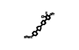 CCCCCC1CCC(C2CCC(C3CC=C(c4ccc(CCC)c(F)c4Cl)CC3)CC2)CC1